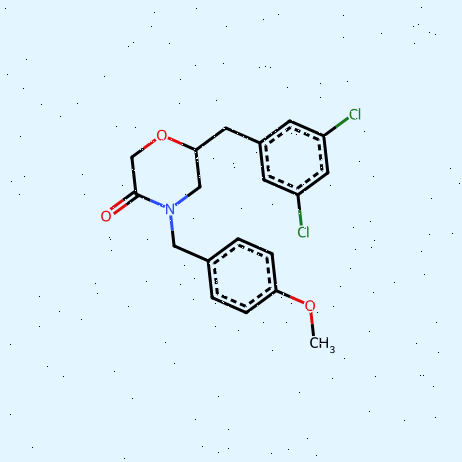 COc1ccc(CN2CC(Cc3cc(Cl)cc(Cl)c3)OCC2=O)cc1